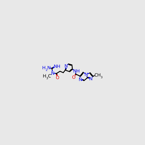 Cc1cn2cc(C(=O)Nc3ccnc(CCC(=O)N(C)C(=N)N)c3)ncc2n1